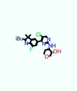 CCC(C)C1=Nc2c(F)cc(-c3nc(N[C@@H]4CCOC[C@H]4O)ncc3Cl)cc2C1(C)C